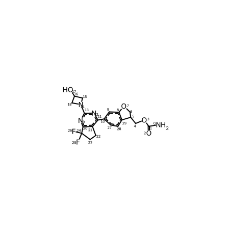 NC(=O)OCC1COc2cc(-c3nc(N4CC(O)C4)nc4c3CCC4(F)F)ccc21